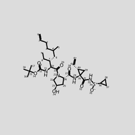 C=CCCC(C)C[C@@H](CC)[C@H](NC(=O)OC(C)(C)C)C(=O)N1C[C@H](O)C[C@H]1C(=O)N[C@]1(C(=O)N[S+]([O-])C2CC2)C[C@H]1C=C